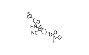 N#Cc1c(NC(=O)C=Cc2ccsc2)sc2c1CCC(COC(=O)NC1CCC1)C2